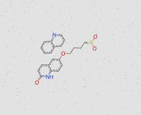 O=c1ccc2cc(OCCCC=S(=O)=O)ccc2[nH]1.c1ccc2ncccc2c1